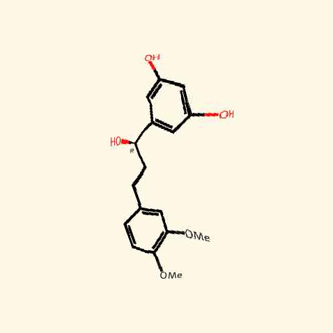 COc1ccc(CC[C@@H](O)c2cc(O)cc(O)c2)cc1OC